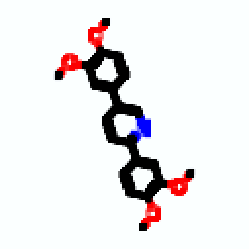 COc1ccc(-c2ccc(-c3ccc(OC)c(OC)c3)nc2)cc1OC